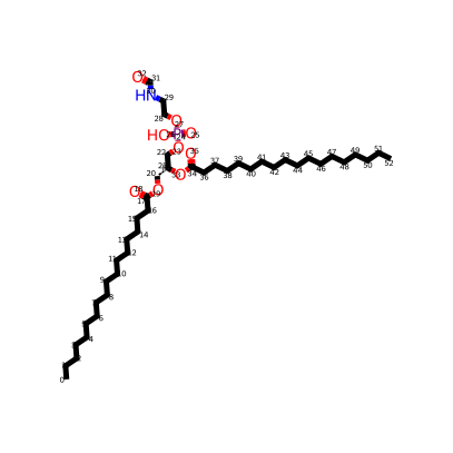 CCCCCCCCCCCCCCCCCC(=O)OC[C@H](COP(=O)(O)OCCNC=O)OC(=O)CCCCCCCCCCCCCCCCC